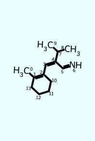 CC1=C(/C=C(\C=N)C(C)C)CCCC1